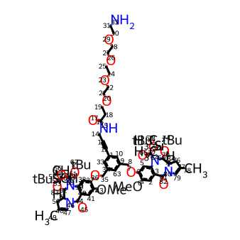 COc1cc2c(cc1OCc1cc(C#CCNC(=O)CCOCCOCCOCCOCCN)cc(COc3cc4c(cc3OC)C(=O)N3C=C(C)C[C@H]3C(O[Si](C)(C)C(C)(C)C)N4C(=O)OC(C)(C)C)c1)N(C(=O)OC(C)(C)C)C(O[Si](C)(C)C(C)(C)C)[C@@H]1CC(C)=CN1C2=O